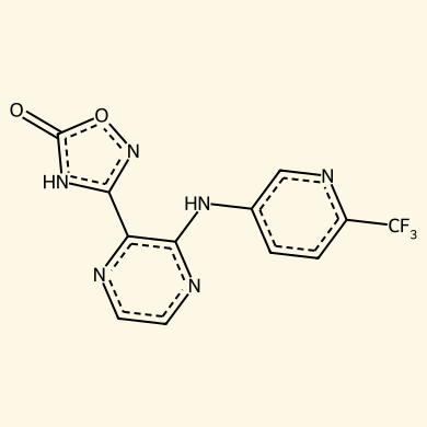 O=c1[nH]c(-c2nccnc2Nc2ccc(C(F)(F)F)nc2)no1